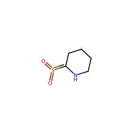 O=S(=O)=C1C[CH]CCN1